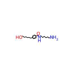 NCCCCCCNC(=O)c1ccc(CCCCCCO)cc1